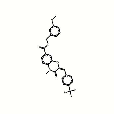 COc1cccc(COC(=O)c2ccc3c(c2)OC(=Cc2ccc(C(F)(F)F)cc2)C(=O)N3C)c1